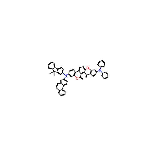 C=C1c2ccc(N(c3ccccc3)c3ccccc3)cc2Oc2ccc3c(c21)C(=C)Oc1cc(N(c2ccc4c(c2)C(C)(C)c2ccccc2-4)c2ccc4c(ccc5ccccc54)c2)ccc1-3